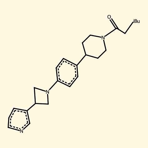 CCC(C)CC(=O)N1CCC(c2ccc(N3CC(c4cccnc4)C3)cc2)CC1